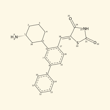 N[C@@H]1CCCC(c2cc(-c3ccccc3)ccc2/C=C2\SC(=O)NC2=O)C1